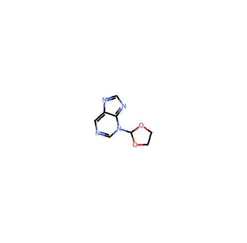 c1nc2cncn(C3OCCO3)c-2n1